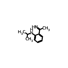 CC(=N)c1ccccc1NC(C)C